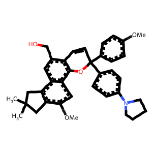 COc1ccc(C2(c3ccc(N4CCCC4)cc3)C=Cc3c(CO)cc4c5c(c(OC)cc4c3O2)CC(C)(C)C5)cc1